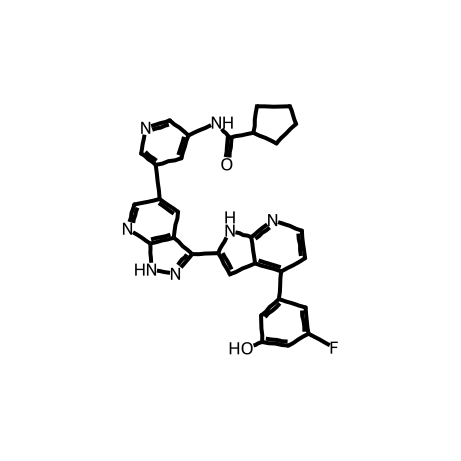 O=C(Nc1cncc(-c2cnc3[nH]nc(-c4cc5c(-c6cc(O)cc(F)c6)ccnc5[nH]4)c3c2)c1)C1CCCC1